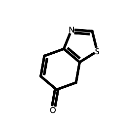 O=C1C=Cc2ncsc2C1